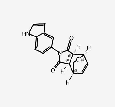 O=C1[C@@H]2[C@H](C(=O)N1c1ccc3[nH]ccc3c1)[C@@H]1C=C[C@H]2CC1